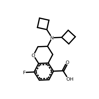 O=C(O)c1ccc(F)c2c1CC(N(C1CCC1)C1CCC1)CO2